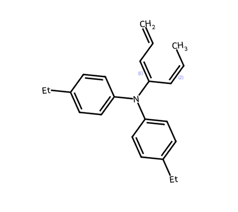 C=C/C=C(\C=C/C)N(c1ccc(CC)cc1)c1ccc(CC)cc1